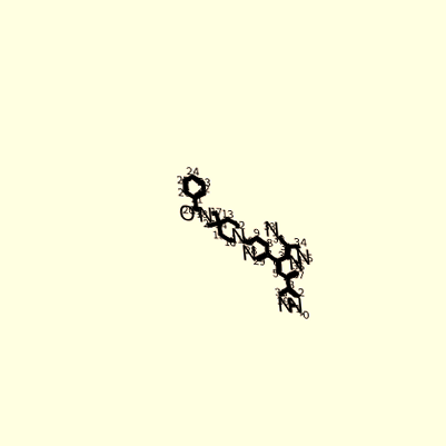 Cn1cc(-c2cc(-c3ccc(N4CCC5(CC4)CN(C(=O)c4ccccc4)C5)nc3)c3c(C#N)cnn3c2)cn1